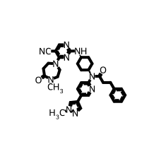 CN1CCN(c2nc(N[C@H]3CC[C@H](N(C(=O)CCc4ccccc4)c4ccc(-c5cnn(C)c5)cn4)CC3)ncc2C#N)CCC1=O